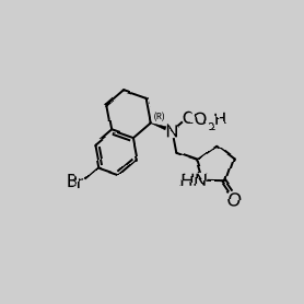 O=C1CCC(CN(C(=O)O)[C@@H]2CCCc3cc(Br)ccc32)N1